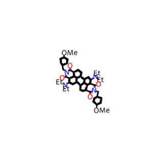 CCN(CC)c1cc2c3ccc4c5c(c(N(CC)CC)cc(c6ccc7c(c1C(=O)N(Cc1ccc(OC)cc1)C7=O)c62)c53)C(=O)N(Cc1ccc(OC)cc1)C4=O